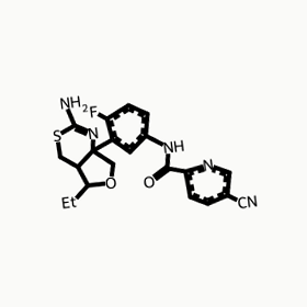 CCC1OCC2(c3cc(NC(=O)c4ccc(C#N)cn4)ccc3F)N=C(N)SCC12